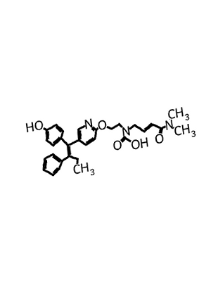 CCC(=C(c1ccc(O)cc1)c1ccc(OCCN(CC=CC(=O)N(C)C)C(=O)O)nc1)c1ccccc1